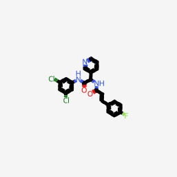 O=C(C=Cc1ccc(F)cc1)NC(C(=O)Nc1cc(Cl)cc(Cl)c1)c1cccnc1